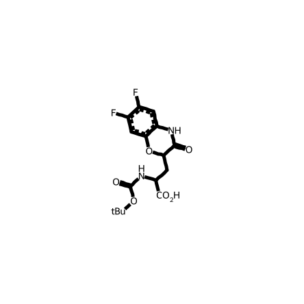 CC(C)(C)OC(=O)NC(CC1Oc2cc(F)c(F)cc2NC1=O)C(=O)O